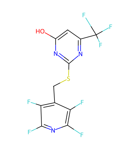 Oc1cc(C(F)(F)F)nc(SCc2c(F)c(F)nc(F)c2F)n1